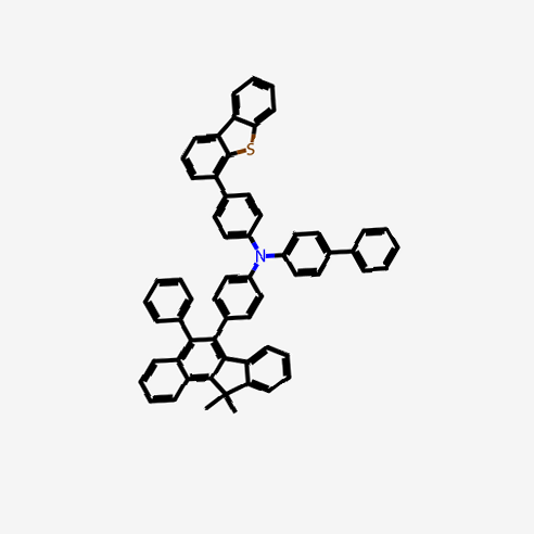 CC1(C)c2ccccc2-c2c(-c3ccc(N(c4ccc(-c5ccccc5)cc4)c4ccc(-c5cccc6c5sc5ccccc56)cc4)cc3)c(-c3ccccc3)c3ccccc3c21